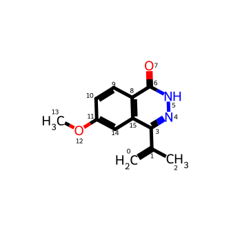 C=C(C)c1n[nH]c(=O)c2ccc(OC)cc12